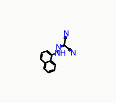 N#CC(C#N)=NNc1cccc2ccccc12